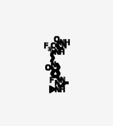 Cc1cc(NC2CC2)nc(-c2cc3ccn(CCC[C@H](C)Nc4cn[nH]c(=O)c4C(F)(F)F)c(=O)c3cc2F)n1